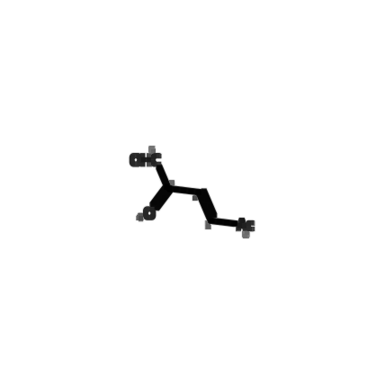 CC(=O)/C=C/C(=O)C=O